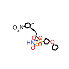 Cc1ccc([N+](=O)[O-])cc1C#CCCCC1(S(=O)(=O)c2ccc(Oc3ccccc3)cc2)SC(=O)NC1=O